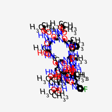 CCN(CC)CCNC(=O)c1c(C)[nH]c(/C=C2\C(OCC(=O)N[C@@H](CCNC(=O)OC(C)(C)C)C(=O)N[C@H](C(=O)N[C@@H](CCNC(=O)OC(C)(C)C)C(=O)N[C@H]3CCNC(=O)[C@H]([C@@H](C)O)NC(=O)[C@H](CCNC(=O)OC(C)(C)C)NC(=O)[C@H](CCNC(=O)OC(C)(C)C)NC(=O)[C@H](CC(C)C)NC(=O)[C@@H](Cc4ccccc4)NC(=O)[C@H](CCNC(=O)OC(C)(C)C)NC3=O)[C@@H](C)O)=Nc3ccc(F)cc32)c1C